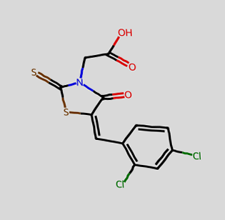 O=C(O)CN1C(=O)/C(=C\c2ccc(Cl)cc2Cl)SC1=S